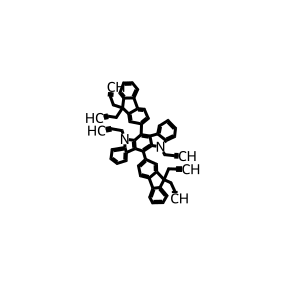 C#CCn1c2ccccc2c2c(-c3ccc4c(c3)C(CC#C)(CC#C)c3ccccc3-4)c3c(c(-c4ccc5c(c4)C(CC#C)(CC#C)c4ccccc4-5)c21)c1ccccc1n3CC#C